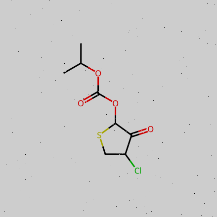 CC(C)OC(=O)OC1SCC(Cl)C1=O